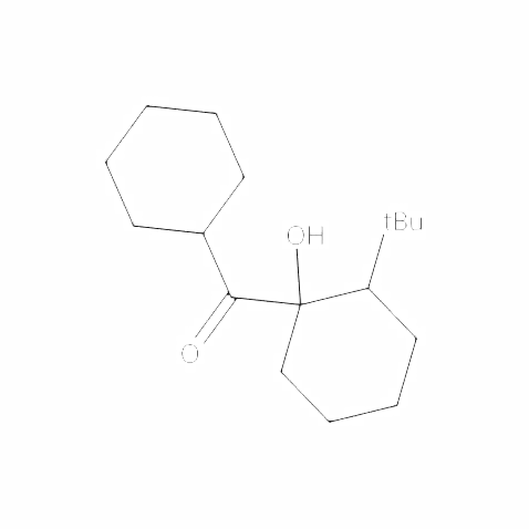 CC(C)(C)C1CCCCC1(O)C(=O)C1CCCCC1